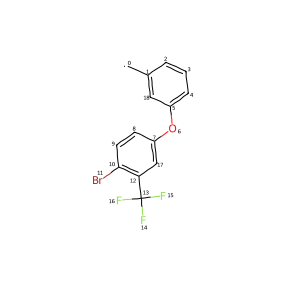 [CH2]c1cccc(Oc2ccc(Br)c(C(F)(F)F)c2)c1